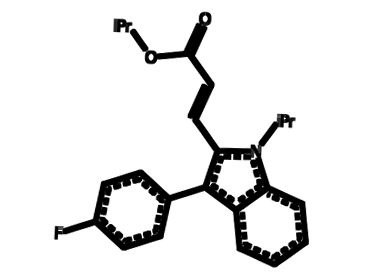 CC(C)OC(=O)C=Cc1c(-c2ccc(F)cc2)c2ccccc2n1C(C)C